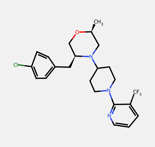 C[C@H]1CN(C2CCN(c3ncccc3C(F)(F)F)CC2)[C@@H](Cc2ccc(Cl)cc2)CO1